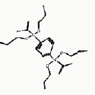 CCCO[Si](OCCC)(c1ccc([Si](OCCC)(OCCC)C(C)C)cc1)C(C)C